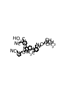 Cc1ccc2c(cnn2COCC[Si](C)(C)C)c1N1CCc2c(nc(OCC3CCCN3CC#N)nc2N2CCN(C(=O)O)C(CC#N)C2)C1